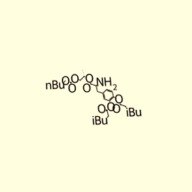 CCCCOC(=O)OC[C@H](C)OC(=O)[C@@H](N)Cc1ccc(OC(=O)CC(C)CC)c(OC(=O)CC(C)CC)c1